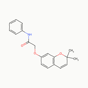 CC1(C)C=Cc2ccc(OCC(=O)Nc3ccccc3)cc2O1